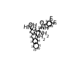 N/C(=C\N(N)C(CC(=O)NO)Cc1ccc2c(c1)CCCC2)CNC(=O)c1ccc(F)c(F)c1